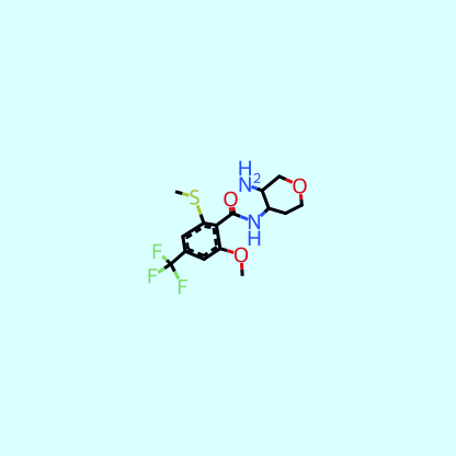 COc1cc(C(F)(F)F)cc(SC)c1C(=O)NC1CCOCC1N